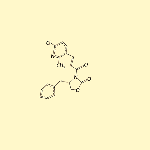 Cc1nc(Cl)ccc1/C=C/C(=O)N1C(=O)OC[C@@H]1Cc1ccccc1